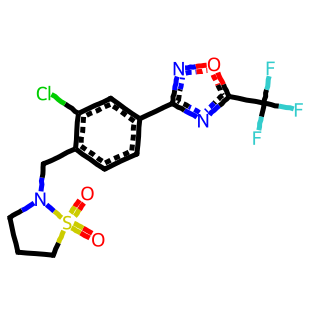 O=S1(=O)CCCN1Cc1ccc(-c2noc(C(F)(F)F)n2)cc1Cl